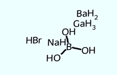 Br.OB(O)O.[BaH2].[GaH3].[NaH]